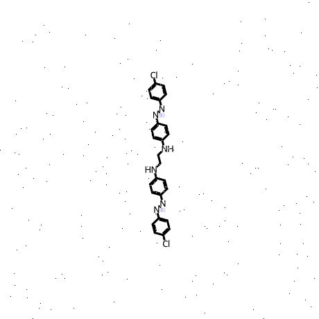 Clc1ccc(/N=N/c2ccc(NCCNc3ccc(/N=N/c4ccc(Cl)cc4)cc3)cc2)cc1